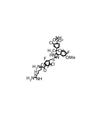 COc1cc(-c2nc(SCc3c(F)cc(C(=O)[C@@](N)(CCCNC(=N)N)C(=O)O)cc3Cl)[nH]c2C(C)(C)c2ccc(S(N)(=O)=O)c(Cl)c2)ccc1F